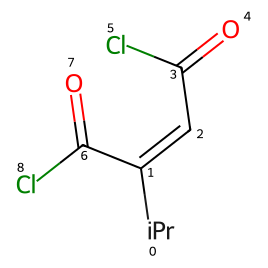 CC(C)C(=CC(=O)Cl)C(=O)Cl